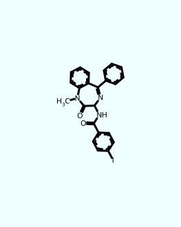 CN1C(=O)C(NC(=O)c2ccc(I)cc2)N=C(c2ccccc2)c2ccccc21